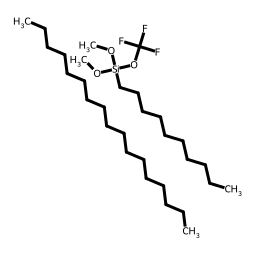 CCCCCCCCCCCCCCCCC.CCCCCCCCCC[Si](OC)(OC)OC(F)(F)F